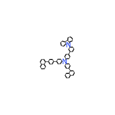 c1cc(-c2ccc(N(c3ccc(-c4ccc(-c5cccc6ccccc56)cc4)cc3)c3ccc(-c4cccc5ccccc45)cc3)cc2)cc(-n2c3ccccc3c3ccccc32)c1